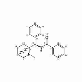 CN1CC2CCC1([C@H](NC(=O)c1ccccc1)c1ccccc1)CC2